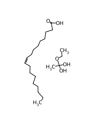 CCCCCCCC/C=C\CCCCCCCC(=O)O.CCOC(C)(O)O